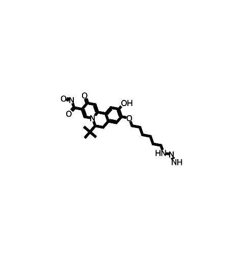 CC(C)(C)C1Cc2cc(OCCCCCCNN=N)c(O)cc2-c2cc(=O)c(C(=O)N=O)cn21